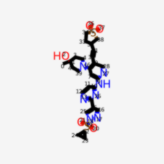 CC1(O)CCN(c2cc(Nc3ccnc(-c4cnn(S(=O)(=O)C5CC5)c4)n3)ncc2C#CC2CCS(=O)(=O)C2)CC1